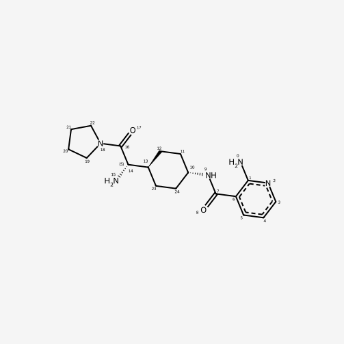 Nc1ncccc1C(=O)N[C@H]1CC[C@H]([C@H](N)C(=O)N2CCCC2)CC1